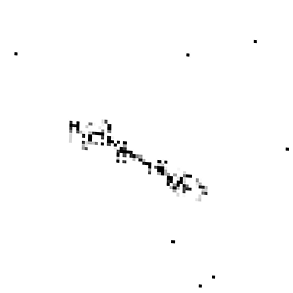 C=C(C)C(=O)OCCOC(=O)CCCCCOC(=O)CCOC(C)(C)C